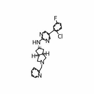 Fc1ccc(Cl)c(-c2cnc(N[C@@H]3C[C@@H]4CN(Cc5ccccn5)C[C@@H]4C3)nc2)c1